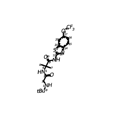 CC(C)(C)NCC(=O)NC(C)(C)C(=O)Nc1nc2ccc(OC(F)(F)F)cc2s1